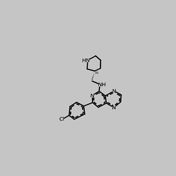 Clc1ccc(-c2cc3nccnc3c(NC[C@H]3CCCNC3)n2)cc1